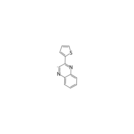 [c]1nc2ccccc2nc1-c1cccs1